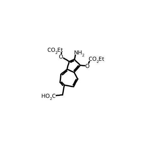 CCOC(=O)Oc1c2ccc(CC(=O)O)ccc-2c(OC(=O)OCC)c1N